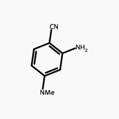 CNc1ccc(C#N)c(N)c1